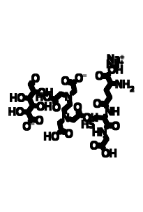 NC(CCC(=O)NC(CS)C(=O)NCC(=O)O)C(=O)O.O=C([O-])CN(CCN(CC(=O)O)CC(=O)O)CC(=O)O.O=CC(O)C(O)C(O)C(O)C(=O)[O-].[Na+].[Na+]